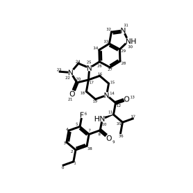 CCc1ccc(F)c(C(=O)N[C@@H](C(=O)N2CCC3(CC2)C(=O)N(C)CN3c2ccc3[nH]ncc3c2)C(C)C)c1